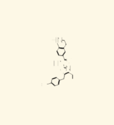 CCc1nc(NC(=O)c2ccc3c(c2)CCNC3)sc1Cc1ccc(Cl)cc1